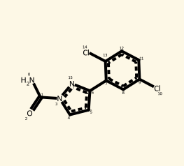 NC(=O)n1c[c]c(-c2cc(Cl)ccc2Cl)n1